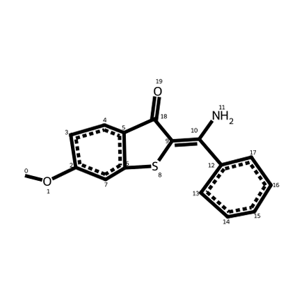 COc1ccc2c(c1)SC(=C(N)c1ccccc1)C2=O